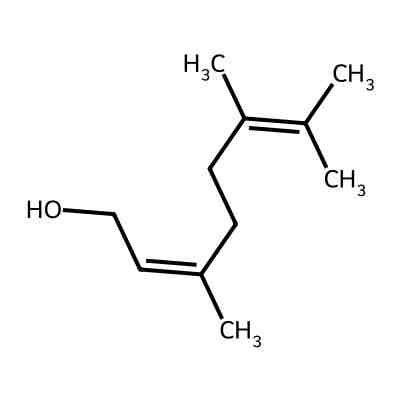 CC(=CCO)CCC(C)=C(C)C